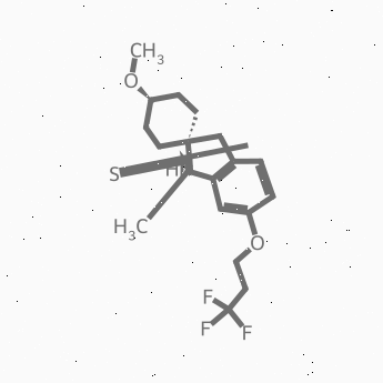 CO[C@H]1CC[C@]2(CC1)Cc1ccc(OCCC(F)(F)F)cc1C21N=C(C)C(=S)N1